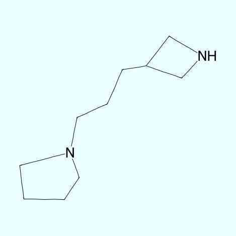 C1CCN(CCCC2CNC2)C1